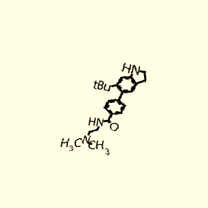 CN(C)CCNC(=O)c1ccc(-c2cc3c(cc2C(C)(C)C)NCC3)cc1